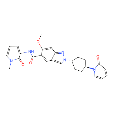 COc1cc2nn([C@H]3CC[C@H](n4ccccc4=O)CC3)cc2cc1C(=O)Nc1cccn(C)c1=O